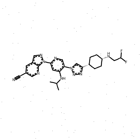 CC(C)Nc1cc(-n2ncc3cc(C#N)cnc32)ncc1-n1cc([C@H]2CC[C@@H](NCC(F)F)CC2)nn1